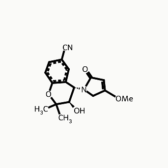 COC1=CC(=O)N([C@H]2c3cc(C#N)ccc3OC(C)(C)[C@@H]2O)C1